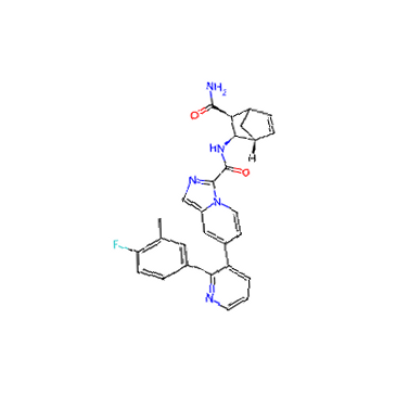 Cc1cc(-c2ncccc2-c2ccn3c(C(=O)N[C@@H]4[C@H]5C=CC(C5)[C@@H]4C(N)=O)ncc3c2)ccc1F